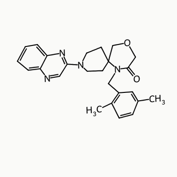 Cc1ccc(C)c(CN2C(=O)COCC23CCN(c2cnc4ccccc4n2)CC3)c1